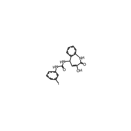 O=C(Nc1cccc(I)c1)NC1C=C(O)C(=O)Nc2ccccc21